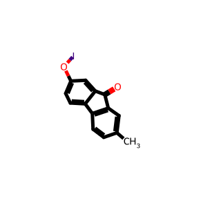 Cc1ccc2c(c1)C(=O)c1cc(OI)ccc1-2